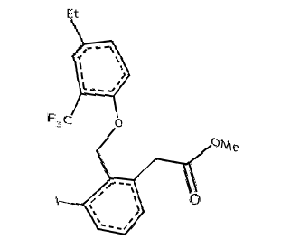 CCc1ccc(OCc2c(I)cccc2CC(=O)OC)c(C(F)(F)F)c1